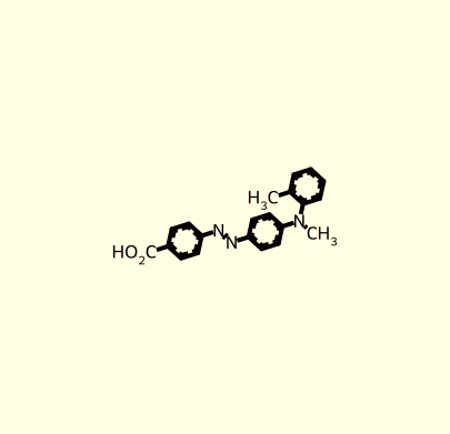 Cc1ccccc1N(C)c1ccc(N=Nc2ccc(C(=O)O)cc2)cc1